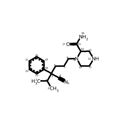 CC(C)C(C#N)(CCCN1CCNCC1C(N)=O)c1ccccc1